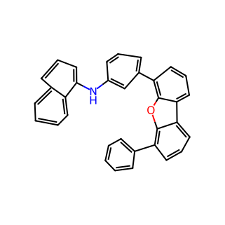 c1ccc(-c2cccc3c2oc2c(-c4cccc(Nc5cccc6ccccc56)c4)cccc23)cc1